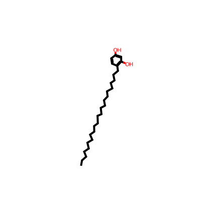 CCCCCCCCCCCCCCCCCCCCCCCc1ccc(O)cc1O